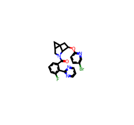 O=C(c1cccc(F)c1-c1ncccn1)N1CC2CC23CC(Oc2ccc(Br)cn2)C13